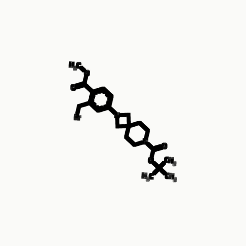 COC(=O)c1ccc(N2CC3(CCN(C(=O)OC(C)(C)C)CC3)C2)cc1CBr